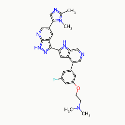 Cc1ncc(-c2cnc3[nH]nc(-c4cc5c(-c6cc(F)cc(OCCN(C)C)c6)cncc5[nH]4)c3c2)n1C